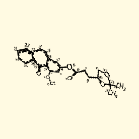 CCOc1cc(OC(=O)CCC2COC(C)(C)O2)cc2ccc3ccccc3c(=O)c12